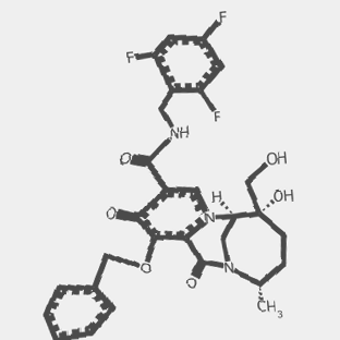 C[C@H]1CC[C@](O)(CO)[C@H]2CN1C(=O)c1c(OCc3ccccc3)c(=O)c(C(=O)NCc3c(F)cc(F)cc3F)cn12